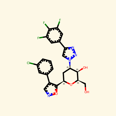 OC[C@H]1O[C@@H](c2oncc2-c2cccc(Cl)c2)C[C@@H](n2cc(-c3cc(F)c(F)c(F)c3)nn2)[C@H]1O